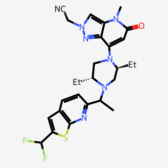 CC[C@H]1CN(C(C)c2ccc3cc(C(F)F)sc3n2)[C@H](CC)CN1c1cc(=O)n(C)c2cn(CC#N)nc12